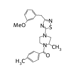 COc1cccc(Cc2nsc(N3CCN(C(=O)c4ccc(C)cc4)C(C)C3)n2)c1